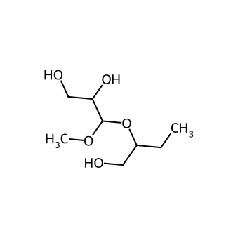 CCC(CO)OC(OC)C(O)CO